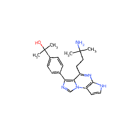 CC(C)(N)CCc1nc2[nH]ccc2n2cnc(-c3ccc(C(C)(C)O)cc3)c12